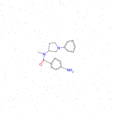 CN(C(=O)c1ccc(N)cc1)C1CCN(c2ccccc2)C1